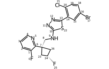 Fc1cccnc1[C@]1(CNc2nnc(-c3cc(Br)ccc3Cl)s2)C[C@@H](F)C1